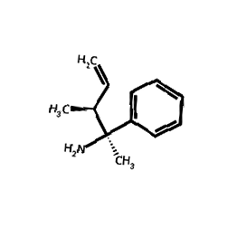 C=C[C@H](C)[C@](C)(N)c1ccccc1